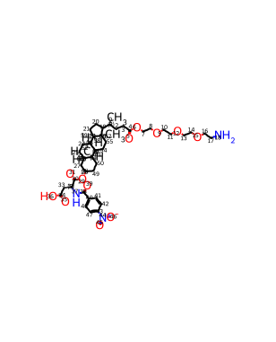 C[C@H](CCC(=O)OCCOCCOCCOCCN)C1CC[C@H]2[C@@H]3CC[C@@H]4C[C@H](OC(=O)[C@H](CC(=O)O)NC(=O)c5ccc([N+](=O)[O-])cc5)CC[C@]4(C)[C@H]3CC[C@]12C